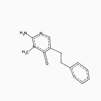 Cn1c(N)ncc(CCc2ccccc2)c1=O